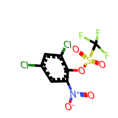 O=[N+]([O-])c1cc(Cl)cc(Cl)c1OS(=O)(=O)C(F)(F)F